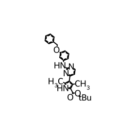 Cc1[nH]c(C(=O)OC(C)(C)C)c(C)c1-c1ccnc(Nc2cccc(OCc3ccccc3)c2)n1